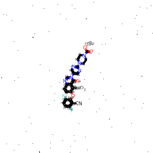 CC(C)(C)OC(=O)N1CCN(c2ncc(-n3cnc4ccc(Oc5c(F)ccc(F)c5C#N)c([N+](=O)[O-])c4c3=O)cn2)CC1